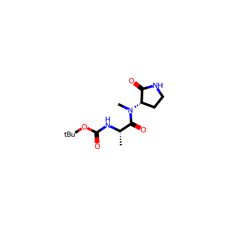 C[C@H](NC(=O)OC(C)(C)C)C(=O)N(C)[C@H]1CCNC1=O